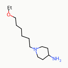 CCOCCCCCCN1CCC(N)CC1